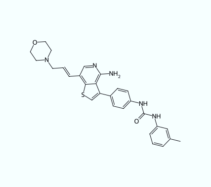 Cc1cccc(NC(=O)Nc2ccc(-c3csc4c(C=CCN5CCOCC5)cnc(N)c34)cc2)c1